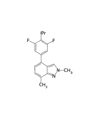 Cc1ccc(-c2cc(F)c(C(C)C)c(F)c2)c2cn(C)nc12